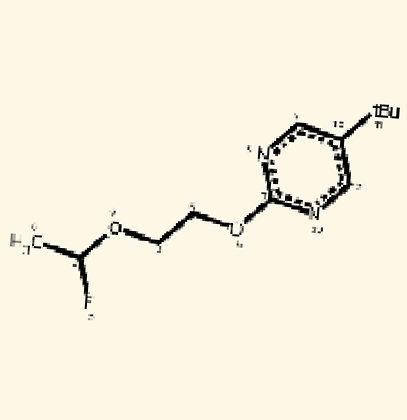 CC(F)OCCOc1ncc(C(C)(C)C)cn1